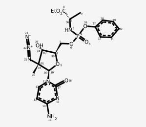 CCOC(=O)[C@H](C)NP(=O)(OC[C@H]1O[C@@H](n2ccc(N)nc2=O)[C@](C)(N=[N+]=[N-])[C@@H]1O)Oc1ccccc1